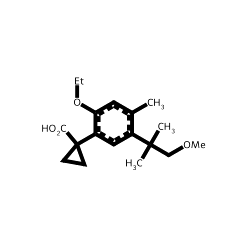 CCOc1cc(C)c(C(C)(C)COC)cc1C1(C(=O)O)CC1